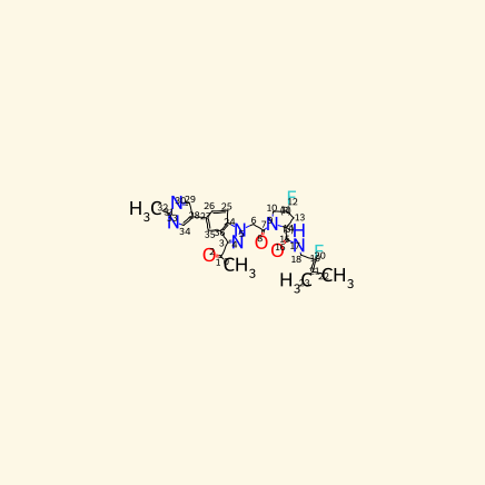 CC(=O)c1nn(CC(=O)N2C[C@H](F)C[C@H]2C(=O)NCC(F)=C(C)C)c2ccc(-c3cnc(C)nc3)cc12